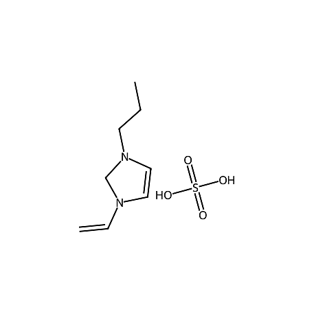 C=CN1C=CN(CCC)C1.O=S(=O)(O)O